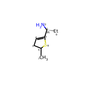 CC[C@@H](N)C1=CCC(C)S1